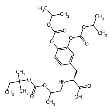 CCC(C)(C)OC(=O)OC(C)CN[C@@H](Cc1ccc(OC(=O)OC(C)C)c(OC(=O)OC(C)C)c1)C(=O)O